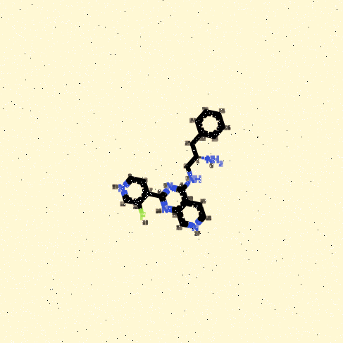 N[C@H](CNc1nc(-c2ccncc2F)nc2cnccc12)Cc1ccccc1